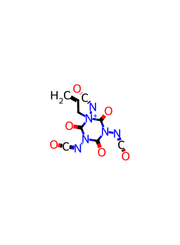 C=CC[N+]1(N=C=O)C(=O)N(N=C=O)C(=O)N(N=C=O)C1=O